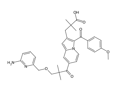 COc1ccc(C(=O)c2c(CC(C)(C)C(=O)O)cc3cc(C(=O)C(C)(C)COCc4cccc(N)n4)ccn23)cc1